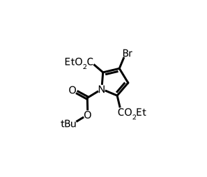 CCOC(=O)c1cc(Br)c(C(=O)OCC)n1C(=O)OC(C)(C)C